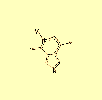 Cn1cc(Br)c2c[nH]cc2c1=O